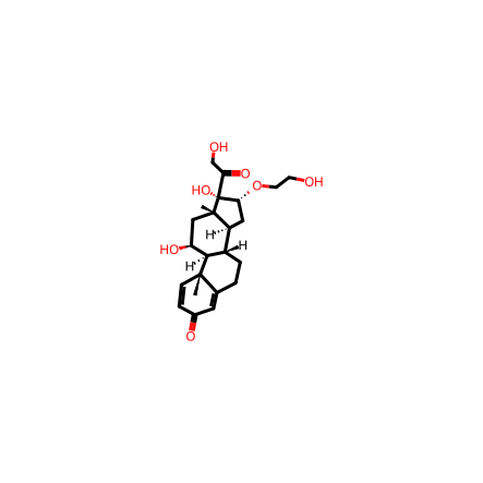 C[C@]12C=CC(=O)C=C1CC[C@@H]1[C@@H]2[C@@H](O)C[C@@]2(C)[C@H]1C[C@@H](OCCO)[C@]2(O)C(=O)CO